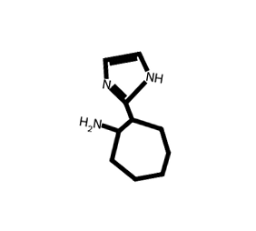 NC1CCCCCC1c1ncc[nH]1